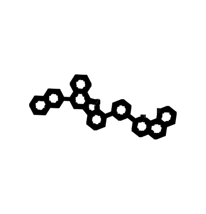 c1cc(-c2ccc3ccc4cccnc4c3n2)cc(-c2cccc3c2oc2c4ccccc4c(-c4ccc5ccccc5c4)cc32)c1